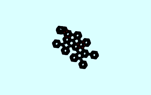 c1ccc(-c2cc3c4c(c2)N(c2ccccc2)c2cc5c(cc2B4c2ccccc2N3c2ccccc2)B2c3ccccc3N(c3ccccc3)c3cc(N4C6CC7CC(C6)CC4C7)cc(c32)N5c2c(-c3ccccc3)cccc2-c2ccccc2)cc1